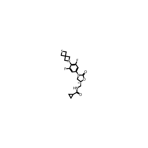 O=C(NC[C@H]1CN(c2cc(F)c(N3CC4(CSC4)C3)c(F)c2)C(=O)O1)C1CC1